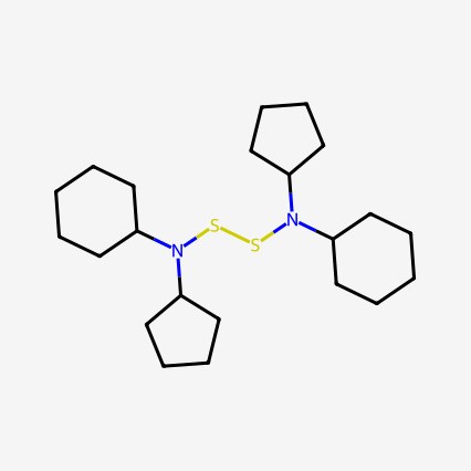 C1CCC(N(SSN(C2CCCCC2)C2CCCC2)C2CCCC2)CC1